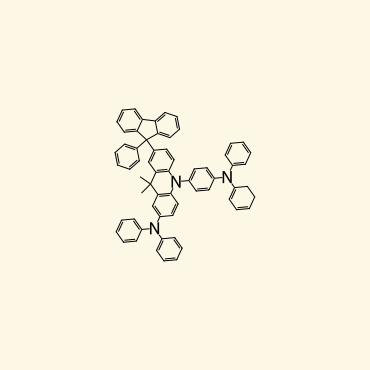 CC1(C)c2cc(N(c3ccccc3)c3ccccc3)ccc2N(c2ccc(N(C3=CC=CCC3)c3ccccc3)cc2)c2ccc(C3(c4ccccc4)c4ccccc4-c4ccccc43)cc21